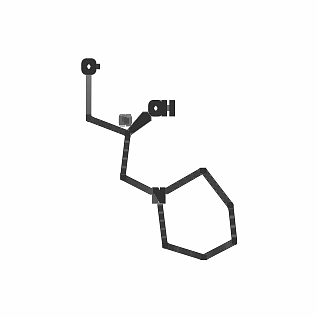 [O]C[C@@H](O)CN1CCCCC1